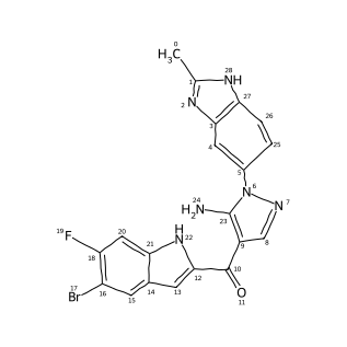 Cc1nc2cc(-n3ncc(C(=O)c4cc5cc(Br)c(F)cc5[nH]4)c3N)ccc2[nH]1